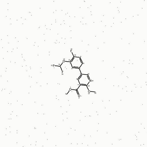 COC(=O)c1cc(-c2ccc(F)c(OC(F)F)c2)cnc1OC